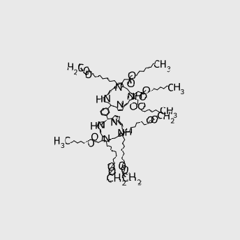 C=COOCCCCCCCC1=C(CC(=O)OCCCCCCC)C2Cc3[nH]c(c(CC(=O)OCCCCCCC)c3CC(=O)OCCCCCCC)/C=C3/C=CC(=N3)C(c3cccc(C4C5=N/C(=C\c6[nH]c(c(CCCCCCCOOC=C)c6CCCCCCCOOC=C)CC6N=C(/C=C7/C=CC4N7)C(CC(=O)OCCCCCCC)=C6CCCCCCCOOC=C)C=C5)c3)C3C=C/C(=C/C1=N2)N3